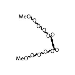 COCCOCCOCCOCCOC(=O)C#CC#CC(=O)OCCOCCOCCOCCOC